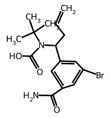 C=CCC(c1cc(Br)cc(C(N)=O)c1)N(C(=O)O)C(C)(C)C